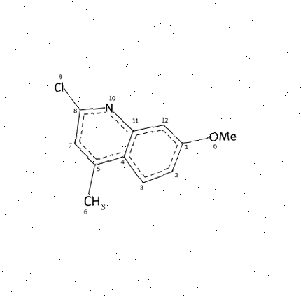 COc1ccc2c(C)cc(Cl)nc2c1